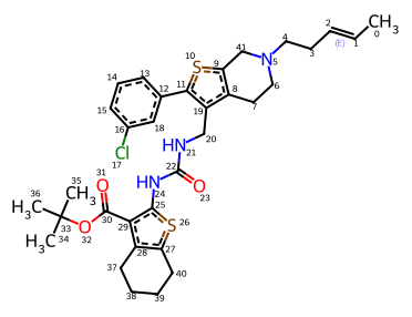 C/C=C/CCN1CCc2c(sc(-c3cccc(Cl)c3)c2CNC(=O)Nc2sc3c(c2C(=O)OC(C)(C)C)CCCC3)C1